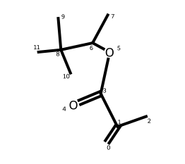 C=C(C)C(=O)OC(C)C(C)(C)C